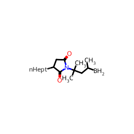 BC(C)CC(C)(C)N1C(=O)CC(CCCCCCC)C1=O